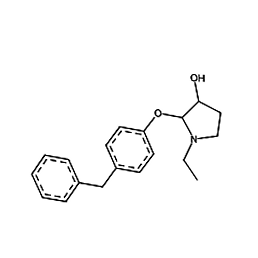 CCN1CCC(O)C1Oc1ccc(Cc2ccccc2)cc1